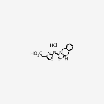 Cl.O=C(O)Cc1csc(N=C2SC[C@@H]3Cc4ccccc4CN23)n1